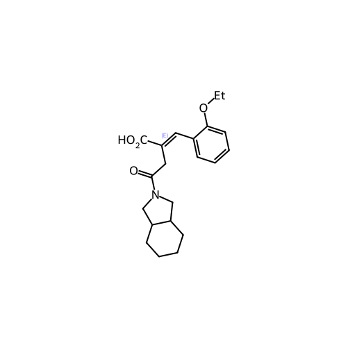 CCOc1ccccc1/C=C(\CC(=O)N1CC2CCCCC2C1)C(=O)O